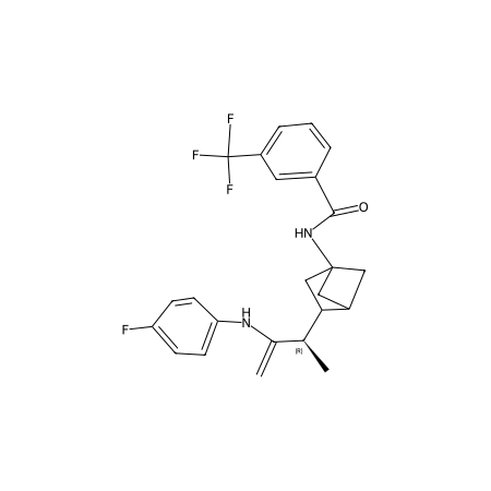 C=C(Nc1ccc(F)cc1)[C@H](C)C1CC2(NC(=O)c3cccc(C(F)(F)F)c3)CC1C2